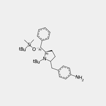 CC(C)(C)N1C(Cc2ccc(N)cc2)CC[C@@H]1[C@H](O[Si](C)(C)C(C)(C)C)c1ccccc1